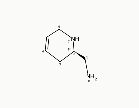 NC[C@H]1CC=CCN1